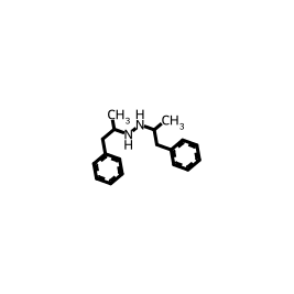 CC(Cc1ccccc1)NNC(C)Cc1ccccc1